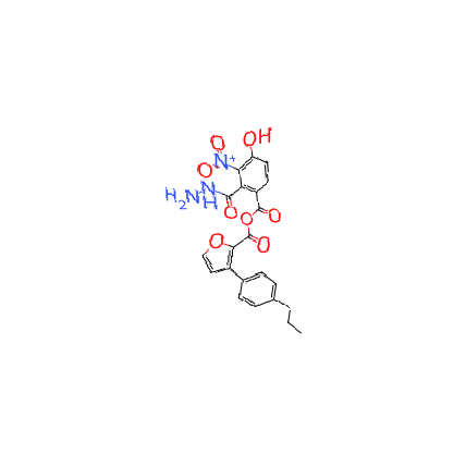 CCCc1ccc(-c2ccoc2C(=O)OC(=O)c2ccc(O)c([N+](=O)[O-])c2C(=O)NN)cc1